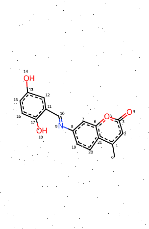 Cc1cc(=O)oc2cc(N=Cc3cc(O)ccc3O)ccc12